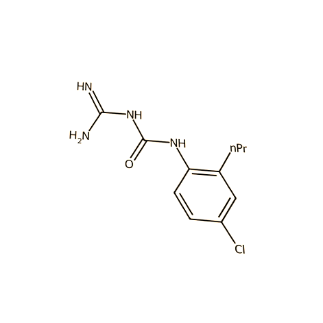 CCCc1cc(Cl)ccc1NC(=O)NC(=N)N